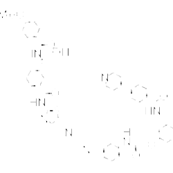 COc1ccc(C(=O)N[C@H](CO)c2cccc(C(=O)Nc3nc4c(s3)CN(CCN3CCc5ccc(NC(=O)COc6cccc(C(C)NC(=O)c7ccc(-c8ccncc8)cc7)c6)cc5C3)CC4)c2)cc1C